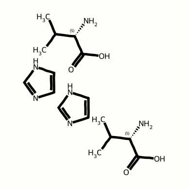 CC(C)[C@H](N)C(=O)O.CC(C)[C@H](N)C(=O)O.c1c[nH]cn1.c1c[nH]cn1